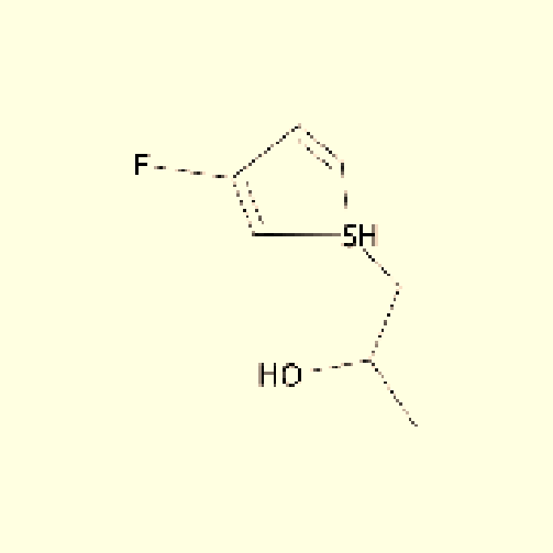 CC(O)C[SH]1C=CC(F)=C1